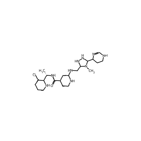 C[C@H](NC(=O)C1CCNC(NCC2NNC(C3CCNC=N3)N2C)C1)C1NCCCC1Cl